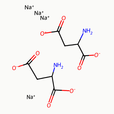 NC(CC(=O)[O-])C(=O)[O-].NC(CC(=O)[O-])C(=O)[O-].[Na+].[Na+].[Na+].[Na+]